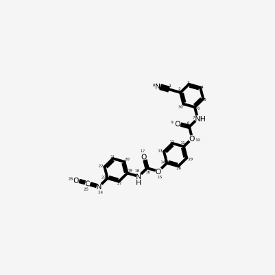 N#Cc1cccc(NC(=O)Oc2ccc(OC(=O)Nc3cccc(N=C=O)c3)cc2)c1